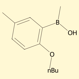 CCCCOc1ccc(C)cc1B(C)O